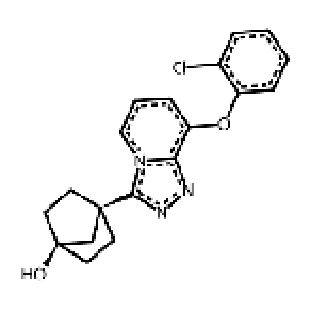 O[C@]12CC[C@](c3nnc4c(Oc5ccccc5Cl)cccn43)(CC1)C2